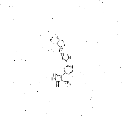 FC(F)(F)C1=C(c2ccnc(-c3cn(C[C@@H]4CCc5ccccc54)cn3)c2)NNN1